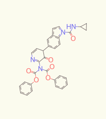 O=C1C(N(C(=O)Oc2ccccc2)C(=O)Oc2ccccc2)=NC=CC1c1ccc2c(ccn2C(=O)NC2CC2)c1